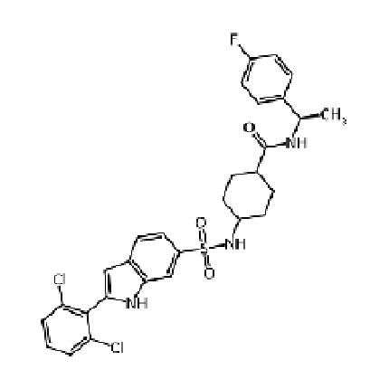 C[C@@H](NC(=O)C1CCC(NS(=O)(=O)c2ccc3cc(-c4c(Cl)cccc4Cl)[nH]c3c2)CC1)c1ccc(F)cc1